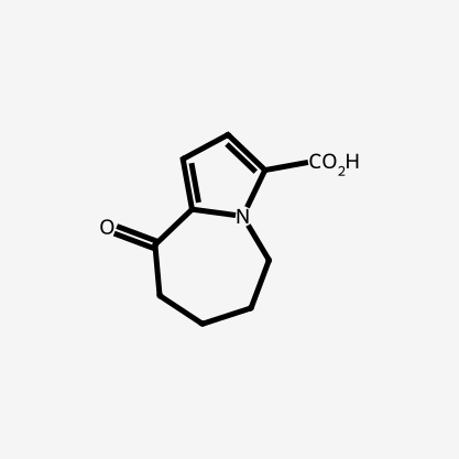 O=C(O)c1ccc2n1CCCCC2=O